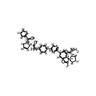 CC(=O)[N+]1(c2ccc(-c3nc(-c4ccc(NC(=O)[C@@H]5C=CCN5C(=O)c5cccs5)cc4)cs3)cc2)CCC[C@H]1C(N)=O